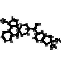 Cn1ncc2c1-c1ccccc1OC21CCN(C(=O)c2ccc3c(c2)OC(C)(C)C3)CC1